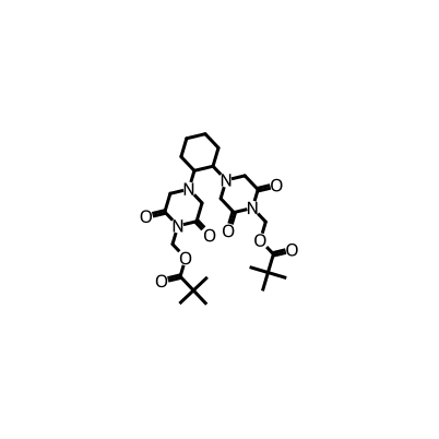 CC(C)(C)C(=O)OCN1C(=O)CN(C2CCCCC2N2CC(=O)N(COC(=O)C(C)(C)C)C(=O)C2)CC1=O